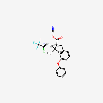 CC1(C)[C@H](/C=C(\Cl)C(F)(F)F)[C@]1(Cc1cccc(Oc2ccccc2)c1)C(=O)OC#N